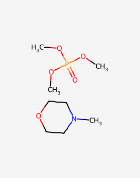 CN1CCOCC1.COP(=O)(OC)OC